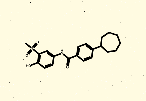 CS(=O)(=O)c1cc(NC(=O)c2ccc(C3CCCCCC3)cc2)ccc1O